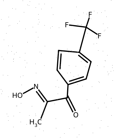 CC(=NO)C(=O)c1ccc(C(F)(F)F)cc1